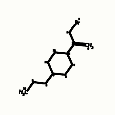 C=C(CBr)C1CCC(CCC)CC1